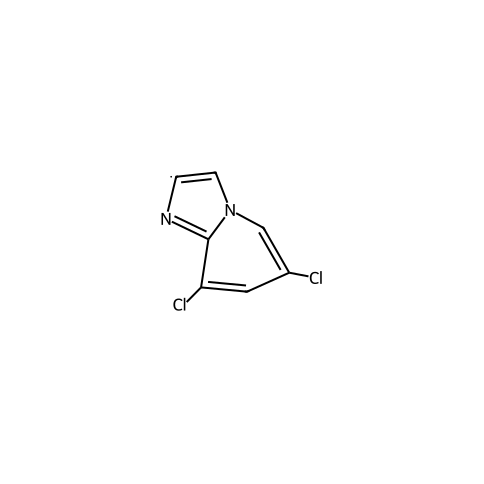 Clc1cc(Cl)c2n[c]cn2c1